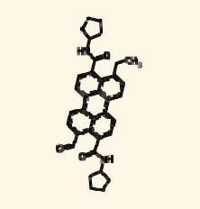 CCc1ccc2c3ccc(C(=O)NC4CCCC4)c4c(C=O)ccc(c5ccc(C(=O)NC6CCCC6)c1c25)c43